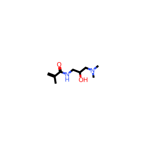 C=C(C)C(=O)NCC(O)CN(C)C